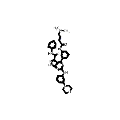 CN(C)C/C=C/C(=O)Nc1cccc(-c2nc(Nc3cccc(N4CCOCC4)c3)nc3[nH]nc(C(=O)Nc4ccccc4)c23)c1